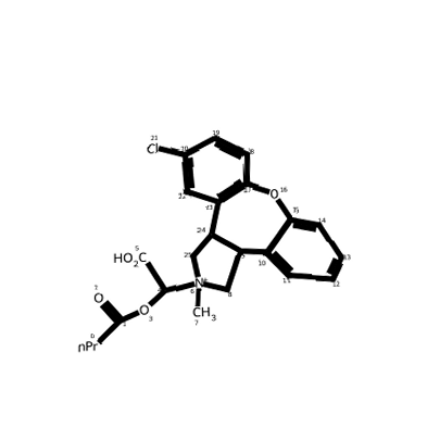 CCCC(=O)OC(C(=O)O)[N+]1(C)CC2c3ccccc3Oc3ccc(Cl)cc3C2C1